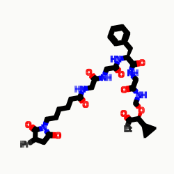 CCC(=O)[C@@H](OCNC(=O)CNC(=O)[C@H](Cc1ccccc1)NC(=O)CNC(=O)CNC(=O)CCCCCN1C(=O)CC(C(C)C)C1=O)C1CC1